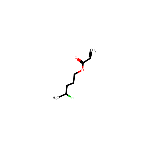 C=CC(=O)OCCCC(C)Cl